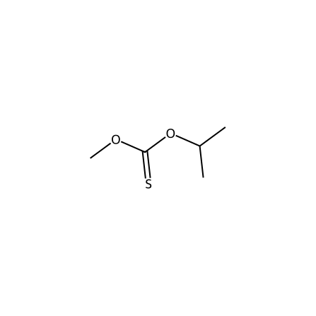 COC(=S)OC(C)C